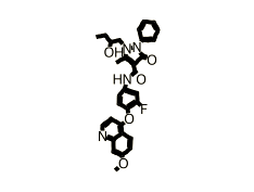 CCC(O)Cn1c(C)c(C(=O)Nc2ccc(Oc3ccnc4cc(OC)ccc34)c(F)c2)c(=O)n1-c1ccccc1